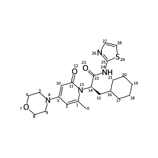 Cc1cc(N2CCOCC2)cc(=O)n1[C@H](CC1CCCCC1)C(=O)Nc1nccs1